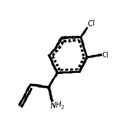 C=CC(N)c1ccc(Cl)c(Cl)c1